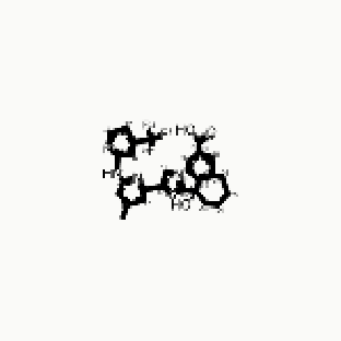 Cc1cc(Nc2cc(C(F)(F)F)ccn2)nc(-c2cnc([C@@]3(O)CCCCc4cc(C(=O)O)ccc43)s2)c1